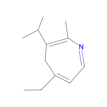 CCC1=CC=NC(C)=C(C(C)C)C1